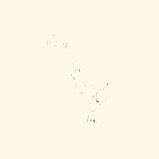 CC(N1CC(COC(=O)Nc2cccc(Cc3nn(-c4cnn(C)c4)ccc3=O)c2)C1)C(F)(F)F